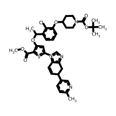 COC(=O)c1sc(-n2cnc3c2C=CC(c2ccc(C)nc2)C3)cc1OC(C)c1cccc(OC2CCN(C(=O)OC(C)(C)C)CC2)c1Cl